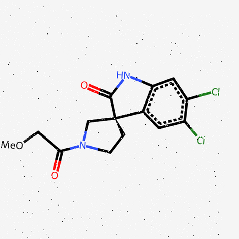 COCC(=O)N1CC[C@@]2(C1)C(=O)Nc1cc(Cl)c(Cl)cc12